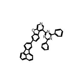 c1ccc(-c2nc(-c3ccccc3)nc(-c3cncc4oc5cc(-c6ccc7c(c6)-c6cccc8cccc-7c68)ccc5c34)n2)cc1